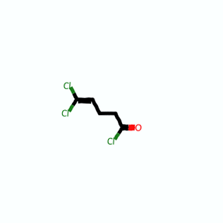 O=C(Cl)CCC=C(Cl)Cl